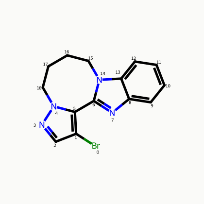 Brc1cnn2c1-c1nc3ccccc3n1CCCC2